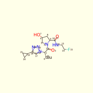 CC(C)(C)C(C(=O)N1CC(O)CC1C(=O)NCCF)n1cc(C2CC2)nn1